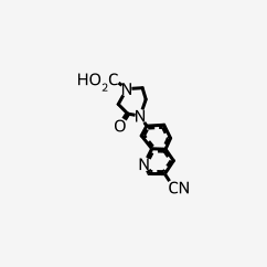 N#Cc1cnc2cc(N3CCN(C(=O)O)CC3=O)ccc2c1